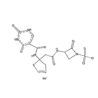 O=C(CC1(NC(=O)c2c[nH]c(=O)[nH]c2=O)CC=CS1)NC1CN(S(=O)(=O)[O-])C1=O.[Na+]